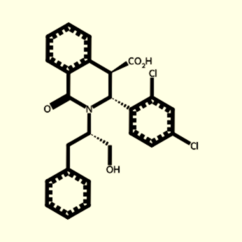 O=C(O)[C@@H]1c2ccccc2C(=O)N([C@H](CO)Cc2ccccc2)[C@H]1c1ccc(Cl)cc1Cl